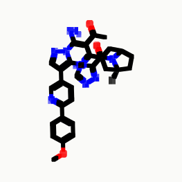 COc1ccc(-c2ccc(-c3cnn4c(N)c(C(C)=O)c(C5CC6CC[C@H](C5)N6C(=O)c5nnc[nH]5)nc34)cn2)cc1